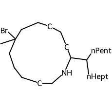 CCCCCCCC(CCCCC)C1CCCCCC(C)(Br)CCCCCN1